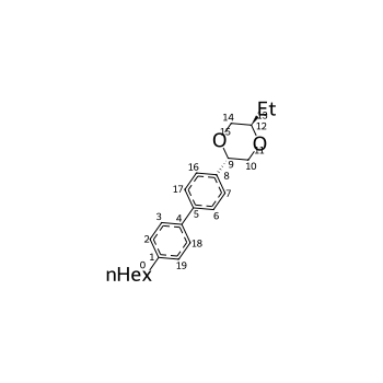 CCCCCCc1ccc(-c2ccc([C@H]3CO[C@H](CC)CO3)cc2)cc1